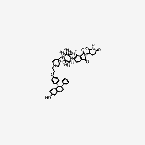 [2H]C1([2H])N(CC2CCN(CCOc3ccc([C@@H]4c5ccc(O)cc5CC[C@@H]4c4ccccc4)cc3)CC2)C([2H])([2H])C([2H])([2H])N(c2ccc3c(c2F)C(=O)N(C2CCC(=O)NC2=O)C3=O)C1([2H])[2H]